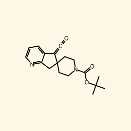 CC(C)(C)OC(=O)N1CCC2(CC1)Cc1ncccc1C2=C=O